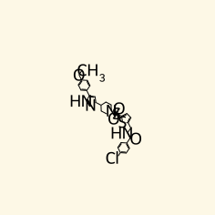 COc1ccc(-c2cc(C3CCN(S(=O)(=O)c4ccc(CNC(=O)c5ccc(Cl)cc5)s4)CC3)n[nH]2)cc1